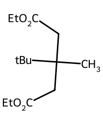 CCOC(=O)CC(C)(CC(=O)OCC)C(C)(C)C